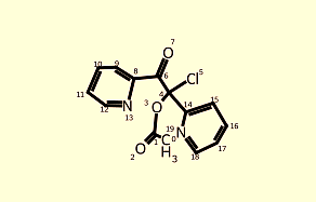 CC(=O)OC(Cl)(C(=O)c1ccccn1)c1ccccn1